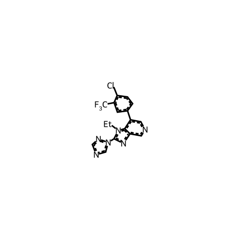 CCn1c(-n2cncn2)nc2cncc(-c3ccc(Cl)c(C(F)(F)F)c3)c21